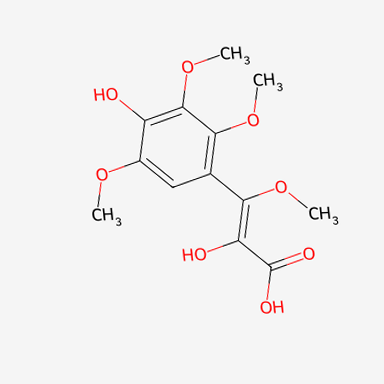 COC(=C(O)C(=O)O)c1cc(OC)c(O)c(OC)c1OC